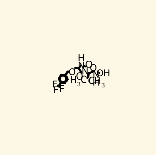 CC(C)C(C(=O)NO)N1C(=O)NC(COCc2ccc(C(F)(F)F)cc2)C1=O